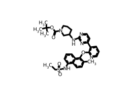 CCS(=O)(=O)Nc1cccc2c(Oc3ncccc3-c3ccnc(NC4CCCN(C(=O)OC(C)(C)C)C4)n3)c(C)ccc12